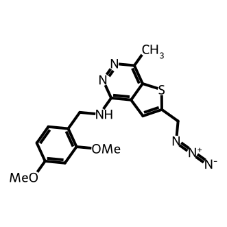 COc1ccc(CNc2nnc(C)c3sc(CN=[N+]=[N-])cc23)c(OC)c1